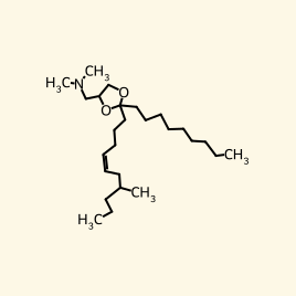 CCCCCCCCCC1(CCC/C=C\CC(C)CCC)OCC(CN(C)C)O1